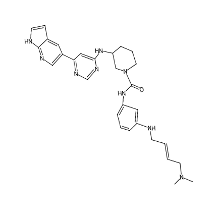 CN(C)C/C=C/CNc1cccc(NC(=O)N2CCCC(Nc3cc(-c4cnc5[nH]ccc5c4)ncn3)C2)c1